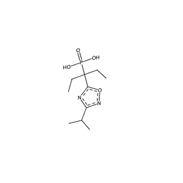 CCC(CC)(c1nc(C(C)C)no1)P(=O)(O)O